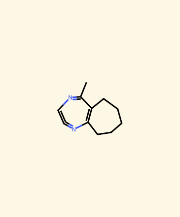 CC1=NC=C=NC2=C1CCCCC2